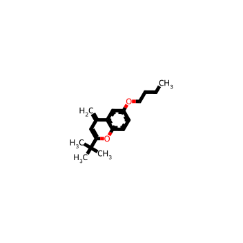 C=C1C=C(C(C)(C)C)Oc2ccc(OCCCC)cc21